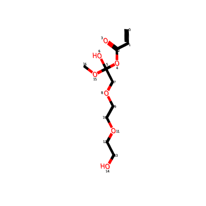 C=CC(=O)OC(O)(COCCOCCO)OC